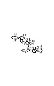 O=C1NCCCN1c1ccc(CC(OC[C@H]2O[C@@H](n3ncc4c(N5C[C@H]6CCC[C@H]6C5)cc(Cl)nc43)[C@H](O)[C@@]2(O)CO)(C(=O)O)C(=O)O)cc1